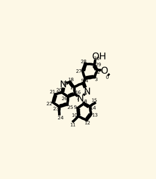 COc1cc(-c2nn(-c3cc(C)ccc3C)c3c2cnc2ccc(C)cc23)ccc1O